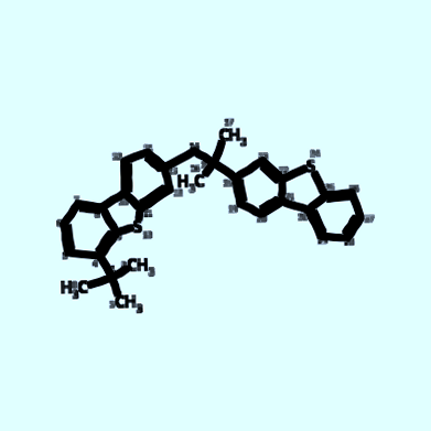 CC(C)(C)c1cccc2c1sc1cc(CC(C)(C)c3ccc4c(c3)sc3ccccc34)ccc12